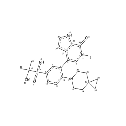 Cn1cc(-c2cc(S(=N)(=O)C(C)(C)C#N)ccc2N2CCC3(CC2)CC3)c2cc[nH]c2c1=O